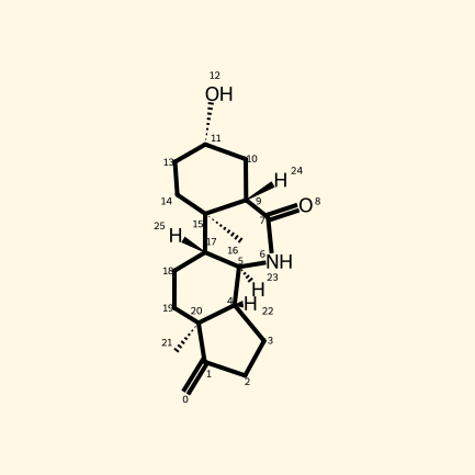 C=C1CC[C@H]2[C@@H]3NC(=O)[C@H]4C[C@@H](O)CC[C@]4(C)[C@H]3CC[C@]12C